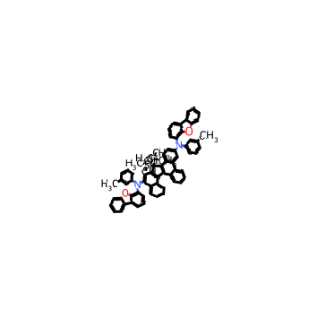 Cc1cccc(N(c2ccc3c4c(c5ccccc5c3c2)-c2c(cc(N(c3cccc(C)c3)c3cccc5c3oc3ccccc35)c3ccccc23)C4([Si](C)(C)C)[Si](C)(C)C)c2cccc3c2oc2ccccc23)c1